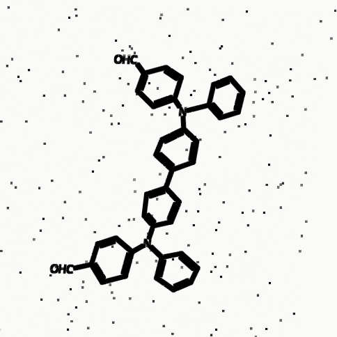 O=Cc1ccc(N(c2ccccc2)c2ccc(-c3ccc(N(c4ccccc4)c4ccc(C=O)cc4)cc3)cc2)cc1